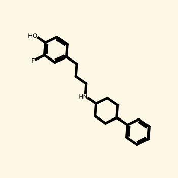 Oc1ccc(CCCNC2CCC(c3ccccc3)CC2)cc1F